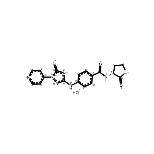 Cl.O=C(N[C@@H]1CCOC1=O)c1ccc(Nc2nn(-c3ccncc3)c(=O)[nH]2)cc1